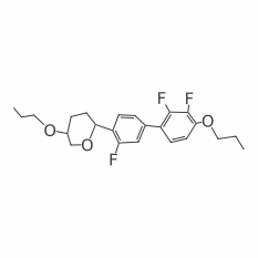 CCCOc1ccc(-c2ccc(C3CCC(OCCC)CO3)c(F)c2)c(F)c1F